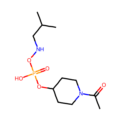 CC(=O)N1CCC(OP(=O)(O)ONCC(C)C)CC1